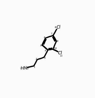 [NH]CCCc1ccc(Cl)cc1Cl